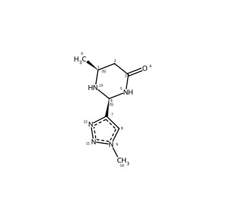 C[C@H]1CC(=O)N[C@@H](c2cn(C)nn2)N1